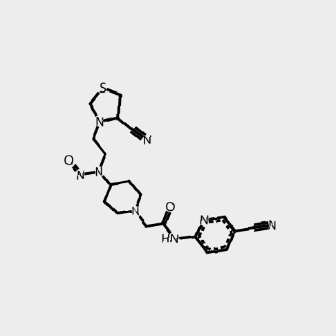 N#Cc1ccc(NC(=O)CN2CCC(N(CCN3CSCC3C#N)N=O)CC2)nc1